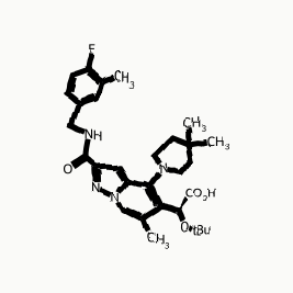 Cc1cc(CNC(=O)c2cc3c(N4CCC(C)(C)CC4)c([C@H](OC(C)(C)C)C(=O)O)c(C)cn3n2)ccc1F